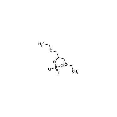 CCOCC(COCC)OP(=O)(Cl)Cl